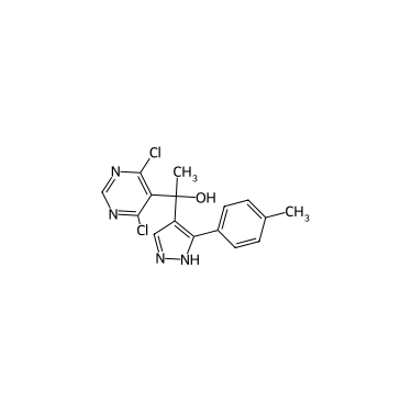 Cc1ccc(-c2[nH]ncc2C(C)(O)c2c(Cl)ncnc2Cl)cc1